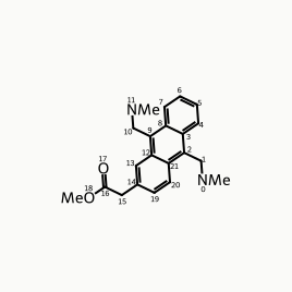 CNCc1c2ccccc2c(CNC)c2cc(CC(=O)OC)ccc12